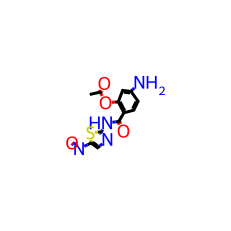 CC(=O)Oc1cc(N)ccc1C(=O)Nc1ncc(N=O)s1